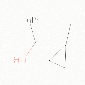 CC1CC1.CCCCO